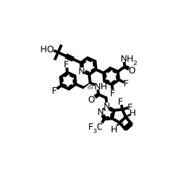 CC(C)(O)C#Cc1ccc(-c2cc(F)c(F)c(C(N)=O)c2)c([C@H](Cc2cc(F)cc(F)c2)NC(=O)Cn2nc(C(F)(F)F)c3c2C(F)(F)[C@@H]2C#C[C@H]32)n1